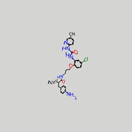 CNC(Cc1ccc(N)cc1)C(=O)NCCCOc1ccc(Cl)cc1NC(=O)Nc1ccc(C#N)cn1